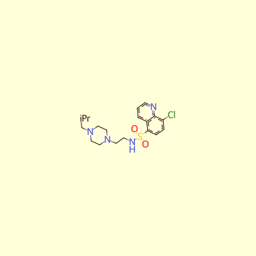 CC(C)CN1CCN(CCNS(=O)(=O)c2ccc(Cl)c3ncccc23)CC1